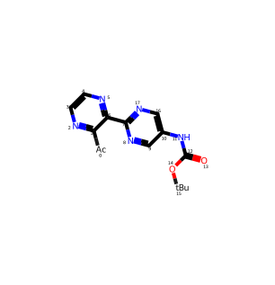 CC(=O)c1nccnc1-c1ncc(NC(=O)OC(C)(C)C)cn1